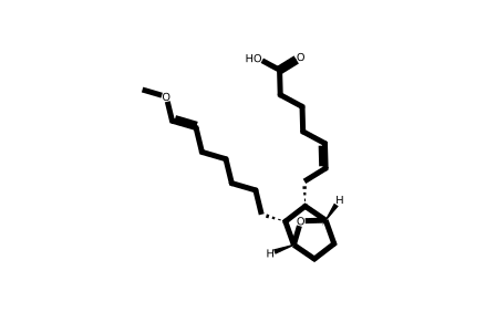 COC=CCCCCC[C@@H]1[C@H](C/C=C\CCCC(=O)O)[C@@H]2CC[C@H]1O2